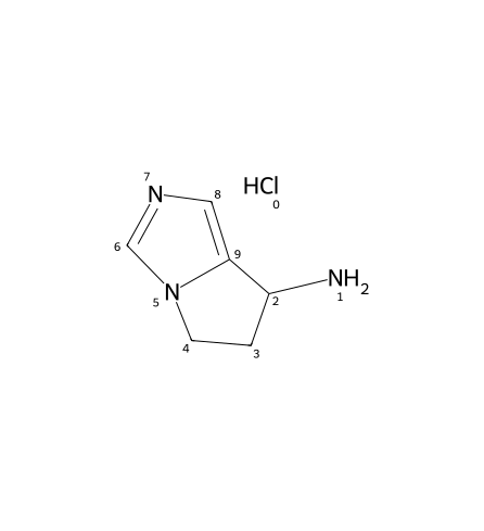 Cl.NC1CCn2cncc21